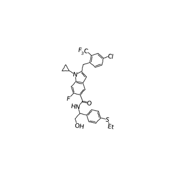 CCSc1ccc(C(CO)NC(=O)c2cc3cc(Cc4ccc(Cl)cc4C(F)(F)F)n(C4CC4)c3cc2F)cc1